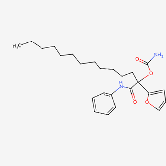 CCCCCCCCCCCCC(OC(N)=O)(C(=O)Nc1ccccc1)c1ccco1